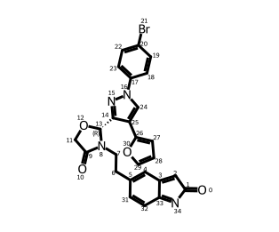 O=C1C=c2cc(CCN3C(=O)CO[C@@H]3c3nn(-c4ccc(Br)cc4)cc3-c3ccco3)ccc2=N1